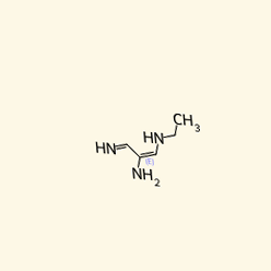 CCN/C=C(/N)C=N